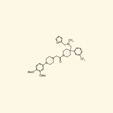 COc1ccc(N2CCN(CC(=O)N3CCC(CN(C)Cc4ccco4)(c4cccc(C(F)(F)F)c4)CC3)CC2)cc1OC